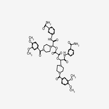 COc1ccc(C(=O)N2CCN(C(OC(=O)C(=O)OC(C(=O)Nc3cccc(C(N)=O)c3)N3CCN(C(=O)c4ccc(OC)c(OC)c4)CC3)C(=O)Nc3cccc(C(N)=O)c3)CC2)cc1OC